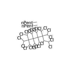 CC(C(Cl)Cl)C(C(Cl)Cl)(C(Cl)Cl)C(C(Cl)Cl)(C(Cl)Cl)C(C(Cl)Cl)(C(Cl)Cl)C(C(Cl)Cl)(C(Cl)Cl)C(Cl)Cl.CCCCCC.CCCCCC